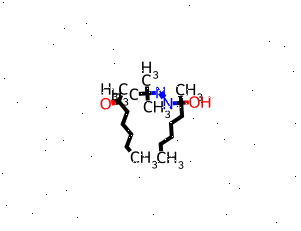 CCCCCC(C)(O)N=NC(C)(C)C.CCCCCC(C)=O